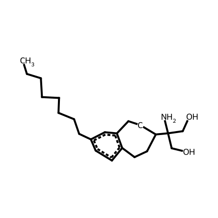 CCCCCCCCc1ccc2c(c1)CCC(C(N)(CO)CO)CC2